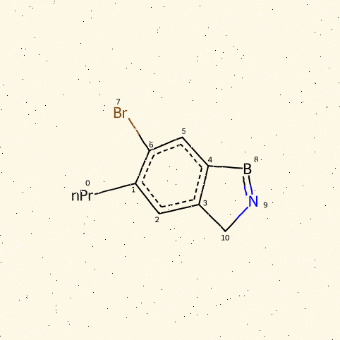 CCCc1cc2c(cc1Br)B=NC2